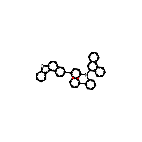 c1ccc(-c2ccccc2N(c2ccc(-c3ccc4c(ccc5oc6ccccc6c54)c3)cc2)c2cc3ccccc3c3ccccc23)cc1